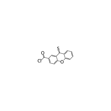 O=C(Cl)c1ccc2oc3ccccc3c(=S)c2c1